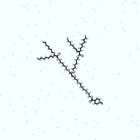 CCCCCCCCC(CCCCCCCC)C(=O)OCCCCCCOCC(COCCOCCOCCOCCOC(=O)C1CCN(C)CC1)OCCCCCCOC(=O)C(CCCCCCCC)CCCCCCCC